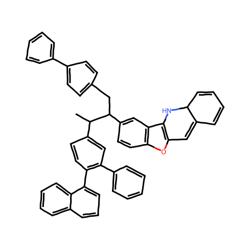 CC(c1ccc(-c2cccc3ccccc23)c(-c2ccccc2)c1)C(Cc1ccc(-c2ccccc2)cc1)c1ccc2oc3c(c2c1)NC1C=CC=CC1=C3